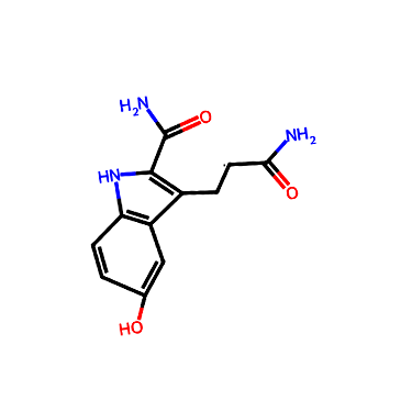 NC(=O)[CH]Cc1c(C(N)=O)[nH]c2ccc(O)cc12